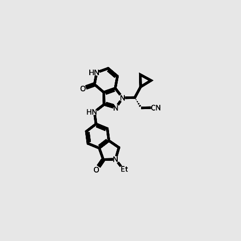 CCN1Cc2cc(Nc3nn([C@@H](CC#N)C4CC4)c4cc[nH]c(=O)c34)ccc2C1=O